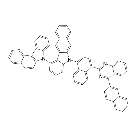 c1ccc2cc(-c3nc(-c4ccc(-n5c6cc7ccccc7cc6c6c(-n7c8ccccc8c8c9ccccc9ccc87)cccc65)c5ccccc45)nc4ccccc34)ccc2c1